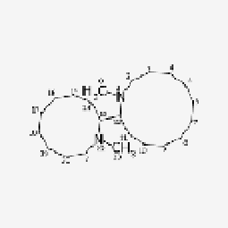 CN1CCCCCCCCCCC1C1CCCCCCCCN1C